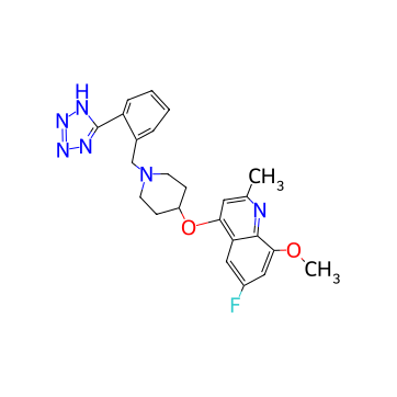 COc1cc(F)cc2c(OC3CCN(Cc4ccccc4-c4nnn[nH]4)CC3)cc(C)nc12